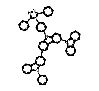 c1ccc(-c2nnc(-c3ccccc3)n2-c2ccc(-n3c4ccc(-c5ccc6c(c5)c5ccccc5n6-c5ccccc5)cc4c4cc(-n5c6ccccc6c6ccccc65)ccc43)cc2)cc1